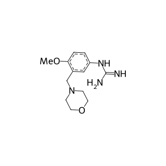 COc1ccc(NC(=N)N)cc1CN1CCOCC1